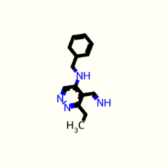 CCc1nncc(NCC2C=CC=CC2)c1C=N